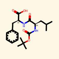 CC(C)C[C@@H](NC(=O)OC(C)(C)C)C(=O)N[C@@H](Cc1ccccc1)C(=O)O